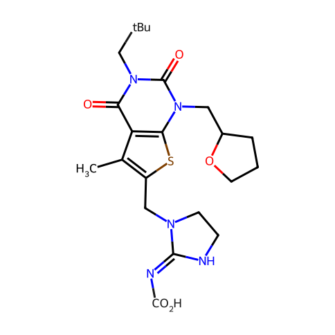 Cc1c(CN2CCN/C2=N\C(=O)O)sc2c1c(=O)n(CC(C)(C)C)c(=O)n2CC1CCCO1